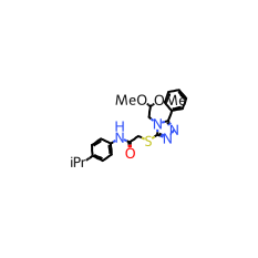 COC(Cn1c(SCC(=O)Nc2ccc(C(C)C)cc2)nnc1-c1ccccc1)OC